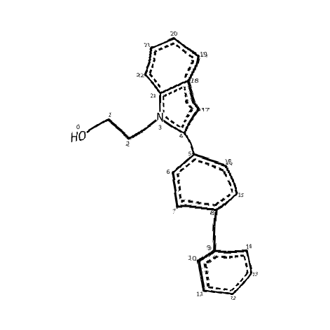 OCCn1c(-c2ccc(-c3ccccc3)cc2)cc2ccccc21